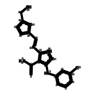 NC(=O)c1c(Nc2cccc(Cl)c2)n[nH]c1N=Cc1ccc(CO)o1